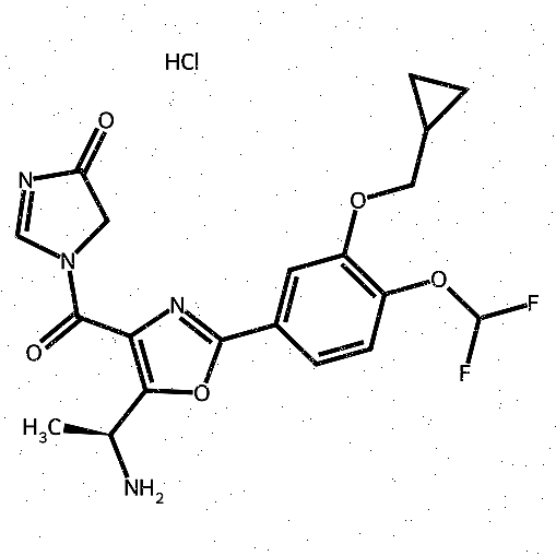 C[C@H](N)c1oc(-c2ccc(OC(F)F)c(OCC3CC3)c2)nc1C(=O)N1C=NC(=O)C1.Cl